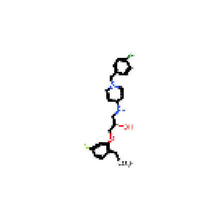 O=C(O)Cc1ccc(F)cc1OC[C@H](O)CNC1CCN(Cc2ccc(Cl)cc2)CC1